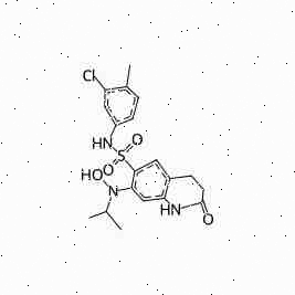 Cc1ccc(NS(=O)(=O)c2cc3c(cc2N(O)C(C)C)NC(=O)CC3)cc1Cl